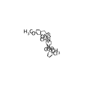 COc1ccc(Cc2csc(N3CCN(S(=O)(=O)C4C=CC=CC4(C)Cl)CC3)n2)c(OC)c1